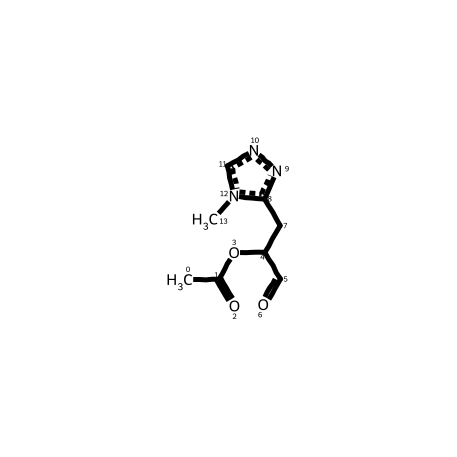 CC(=O)OC(C=O)Cc1nncn1C